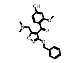 COc1cc(O)ccc1C(=O)c1c(OCc2ccccc2)noc1CN(C)C